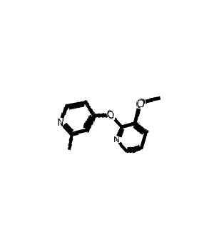 COc1cccnc1Oc1ccnc(C)c1